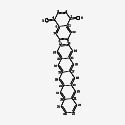 O=C1C=CC(=O)c2ccccc21.c1ccc2cc3cc4cc5ccccc5cc4cc3cc2c1